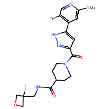 COc1cc(-c2cc(C(=O)N3CCC(C(=O)NCC4(F)COC4)CC3)n[nH]2)c(Cl)cn1